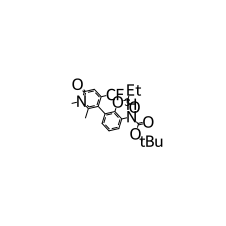 CCC(=O)Oc1c(NC(=O)OC(C)(C)C)cccc1-c1c(C(F)(F)F)cc(=O)n(C)c1C